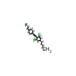 C=CCCCc1cc(F)c(C#CC2CCC(C=CF)CC2)c(F)c1